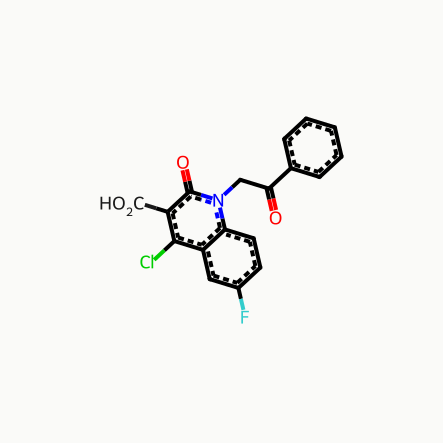 O=C(Cn1c(=O)c(C(=O)O)c(Cl)c2cc(F)ccc21)c1ccccc1